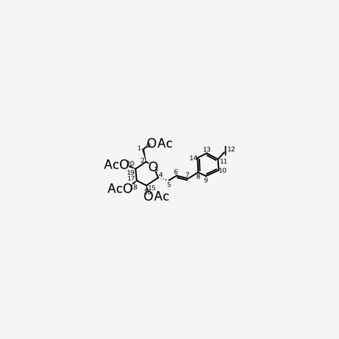 CC(=O)OC[C@H]1O[C@H](C/C=C/c2ccc(I)cc2)[C@@H](OC(C)=O)[C@@H](OC(C)=O)[C@H]1OC(C)=O